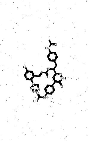 CC(=O)Nc1ccc(CC(NC(=O)C=Cc2cc(Cl)ccc2-n2cnnn2)c2cc(-c3ccc(NC(=O)O)cc3)c(=O)[nH]n2)cc1